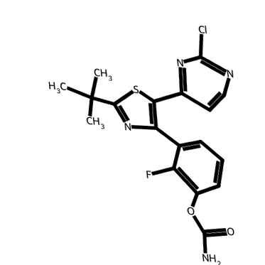 CC(C)(C)c1nc(-c2cccc(OC(N)=O)c2F)c(-c2ccnc(Cl)n2)s1